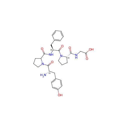 N[C@@H](Cc1ccc(O)cc1)C(=O)N1CCCC1C(=O)N[C@@H](Cc1ccccc1)C(=O)N1CCC[C@H]1C(=O)NCC(=O)O